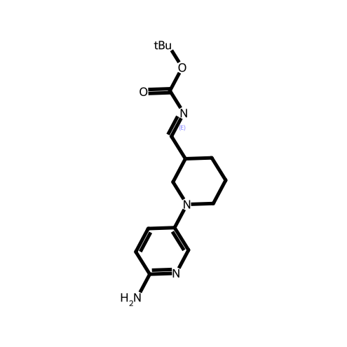 CC(C)(C)OC(=O)/N=C/C1CCCN(c2ccc(N)nc2)C1